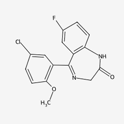 COc1ccc(Cl)cc1C1=NCC(=O)Nc2ccc(F)cc21